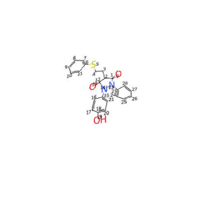 O=C1C(CCSc2ccccc2)C(=O)N(c2ccc(O)cc2)N1c1ccccc1